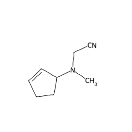 CN(CC#N)C1C=CCC1